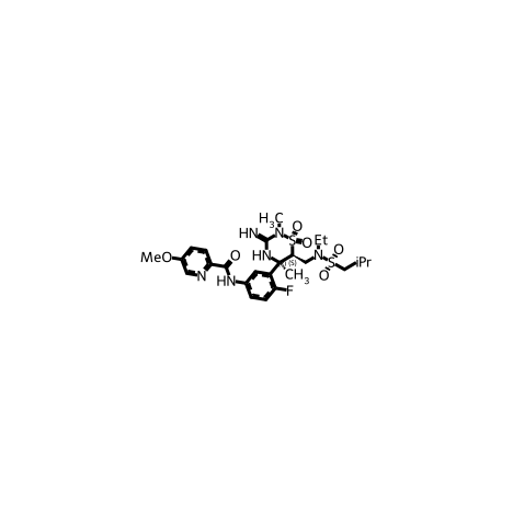 CCN(C[C@H]1[C@@](C)(c2cc(NC(=O)c3ccc(OC)cn3)ccc2F)NC(=N)N(C)S1(=O)=O)S(=O)(=O)CC(C)C